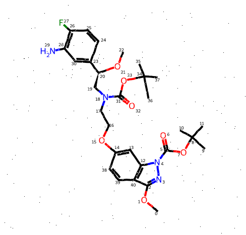 COc1nn(C(=O)OC(C)(C)C)c2cc(OCCN(C[C@H](OC)c3ccc(F)c(N)c3)C(=O)OC(C)(C)C)ccc12